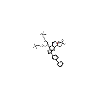 CCO/C=C\c1c(C2CCS(=O)(=O)CC2)nc2c(-c3ccc(-c4ccccc4)nc3)cnn2c1N(COCC[Si](C)(C)C)COCC[Si](C)(C)C